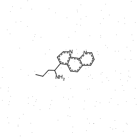 CCCC(N)c1ccnc2c1ccc1cccnc12